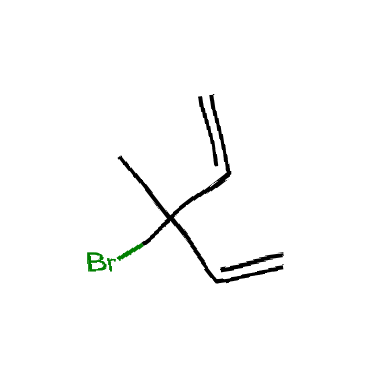 C=CC(C)(Br)C=C